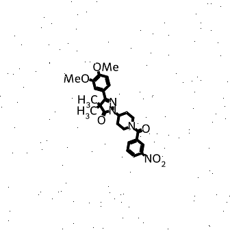 COc1ccc(C2=NN(C3CCN(C(=O)c4cccc([N+](=O)[O-])c4)CC3)C(=O)C2(C)C)cc1OC